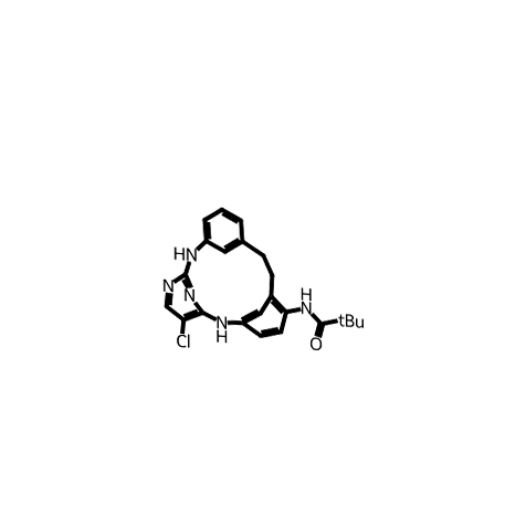 CC(C)(C)C(=O)Nc1ccc2cc1CCc1cccc(c1)Nc1ncc(Cl)c(n1)N2